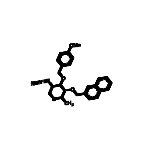 COc1ccc(COC2C(N=[N+]=[N-])COC(C)[C@@H]2OCc2ccc3ccccc3c2)cc1